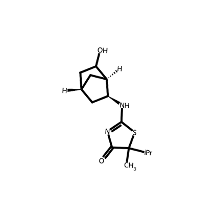 CC(C)C1(C)SC(N[C@H]2C[C@@H]3CC(O)[C@@H]2C3)=NC1=O